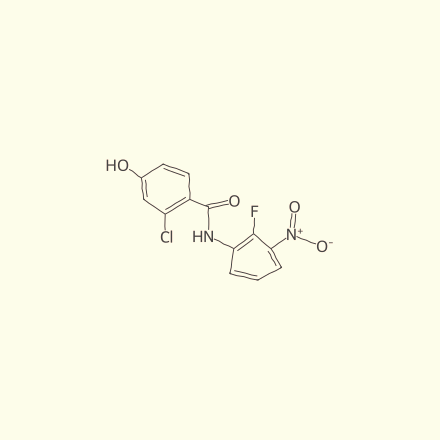 O=C(Nc1cccc([N+](=O)[O-])c1F)c1ccc(O)cc1Cl